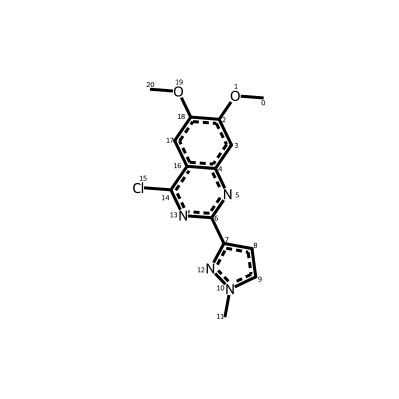 COc1cc2nc(-c3ccn(C)n3)nc(Cl)c2cc1OC